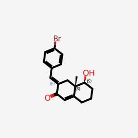 C[C@]12C/C(=C\c3ccc(Br)cc3)C(=O)C=C1CCC[C@@H]2O